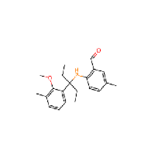 CCC(CC)(Pc1ccc(C)cc1C=O)c1cccc(C)c1OC